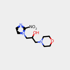 O=[N+]([O-])c1nccn1CC(O)CN1CCOCC1